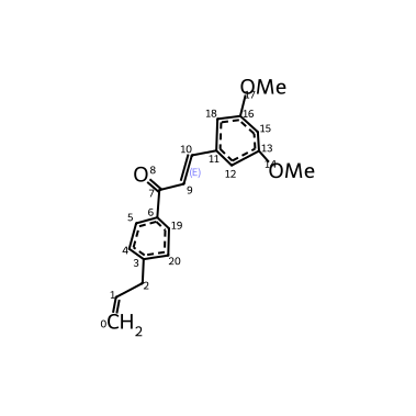 C=CCc1ccc(C(=O)/C=C/c2cc(OC)cc(OC)c2)cc1